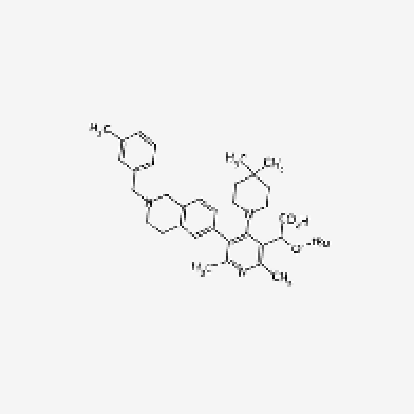 Cc1cccc(CN2CCc3cc(-c4c(C)nc(C)c(C(OC(C)(C)C)C(=O)O)c4N4CCC(C)(C)CC4)ccc3C2)c1